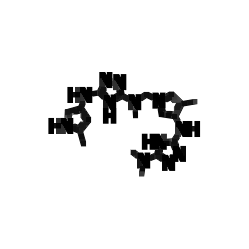 Cc1cc(Nc2nnc(N(C)Cn3cc(C)c(Nc4nnc(N(C)C)[nH]4)c3)[nH]2)c[nH]1